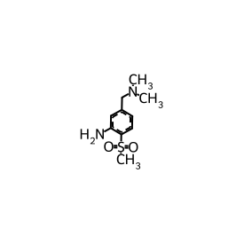 CN(C)Cc1ccc(S(C)(=O)=O)c(N)c1